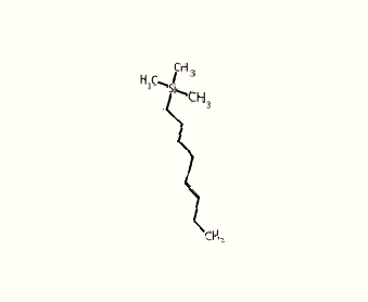 CCCCCCC[CH][Si](C)(C)C